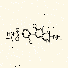 CCNc1ncc2cc(-c3ccc(S(=O)(=O)NC(C)C)cc3Cl)c(=O)n(C)c2n1